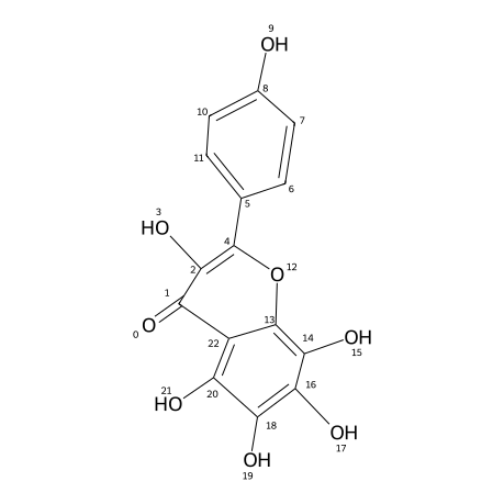 O=c1c(O)c(-c2ccc(O)cc2)oc2c(O)c(O)c(O)c(O)c12